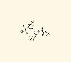 CC(C)(C)OC(=O)N[C@H]1CC(O[Si](C)(C)C(C)(C)C)CN(c2nc(Cl)nc3c(F)c(Cl)ncc23)C1